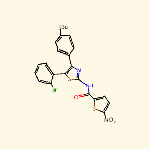 CC(C)(C)c1ccc(-c2nc(NC(=O)c3ccc([N+](=O)[O-])s3)sc2-c2ccccc2Br)cc1